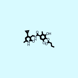 CCCC(=O)Oc1c(Cl)cc(C(=O)NCc2c(C3CC3)cc(C)[nH]c2=O)c(C)c1O